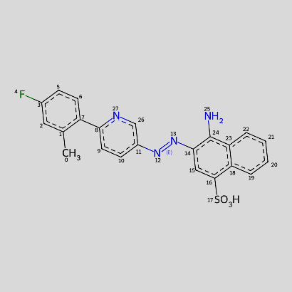 Cc1cc(F)ccc1-c1ccc(/N=N/c2cc(S(=O)(=O)O)c3ccccc3c2N)cn1